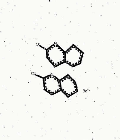 [Be+2].[O-]c1ccc2ccccc2n1.[O-]c1ccc2ccccc2n1